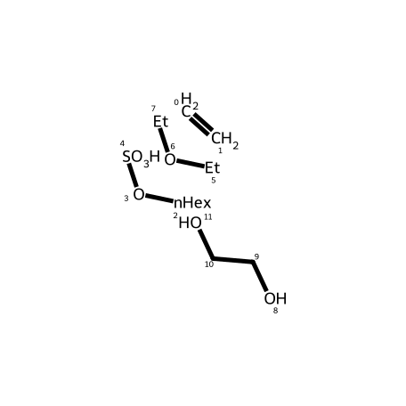 C=C.CCCCCCOS(=O)(=O)O.CCOCC.OCCO